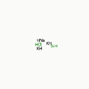 Br.Cl.[KH].[KH].[NaH]